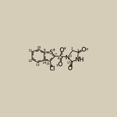 O=C1CN(S(=O)(=O)c2sc3ccccc3c2Cl)C(=O)N1